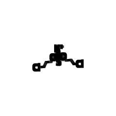 S=P([S-])(OCCCCl)OCCCCl.[K+]